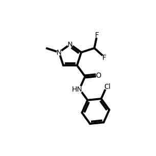 Cn1cc(C(=O)Nc2ccccc2Cl)c(C(F)F)n1